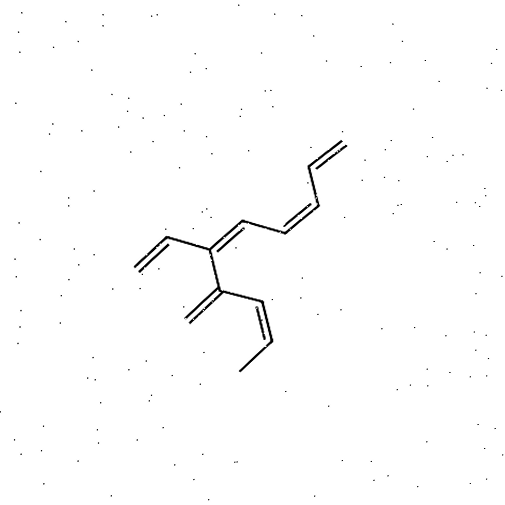 C=C/C=C\C=C(\C=C)C(=C)/C=C\C